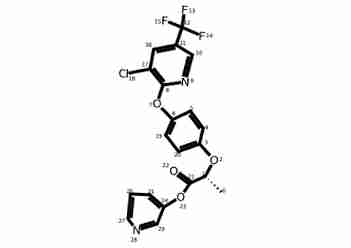 C[C@@H](Oc1ccc(Oc2ncc(C(F)(F)F)cc2Cl)cc1)C(=O)Oc1cccnc1